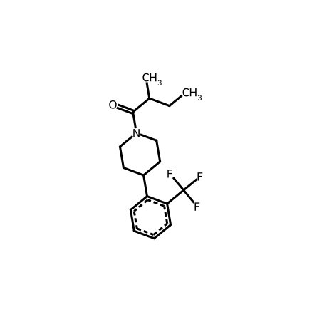 CCC(C)C(=O)N1CCC(c2ccccc2C(F)(F)F)CC1